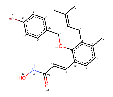 CC(C)=CCc1c(C)ccc(/C=C/C(=O)NO)c1OCc1ccc(Br)cc1